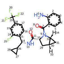 Nc1ccccc1C(=O)N1[C@@H](C(=O)N[C@@H](c2ccc(C(F)(F)F)cc2F)C2CC2)C[C@H]2C[C@H]21